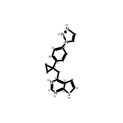 c1cn(-c2ccc(C3(Cc4ncnc5sccc45)CC3)cc2)nn1